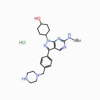 CCCCNc1ncc2c(-c3ccc(CN4CCNCC4)cc3)nn(C3CCC(O)CC3)c2n1.Cl